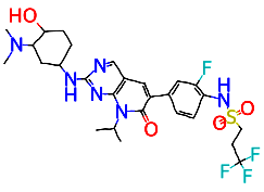 CC(C)n1c(=O)c(-c2ccc(NS(=O)(=O)CCC(F)(F)F)c(F)c2)cc2cnc(NC3CCC(O)C(N(C)C)C3)nc21